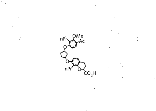 CCCc1c(OC2CCC(Oc3ccc(C(C)=O)c(OC)c3CCC)C2)ccc2c1OC(C(=O)O)CC2